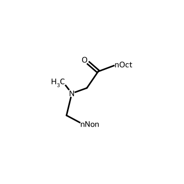 CCCCCCCCCCN(C)CC(=O)CCCCCCCC